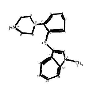 Cn1cc(Sc2ccccc2N2CCNCC2)c2ccccc21